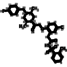 Cc1ccccc1S(=O)(=O)NC(=O)Cc1cc(Cl)ccc1OCC(=O)N1C[C@H](C)N(Cc2ccc(F)cc2)C[C@H]1C